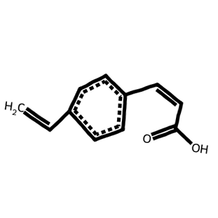 C=Cc1ccc(/C=C\C(=O)O)cc1